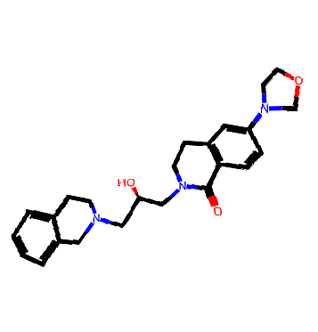 O=C1c2ccc(N3CCOC3)cc2CCN1C[C@H](O)CN1CCc2ccccc2C1